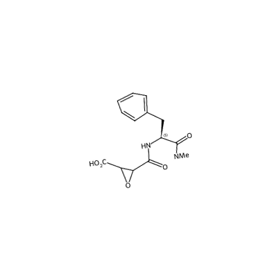 CNC(=O)[C@H](Cc1ccccc1)NC(=O)C1OC1C(=O)O